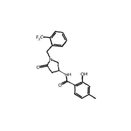 Cc1ccc(C(=O)NC2CC(=O)N(Cc3ccccc3C(F)(F)F)C2)c(O)c1